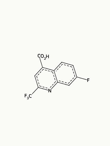 O=C(O)c1cc(C(F)(F)F)nc2cc(F)ccc12